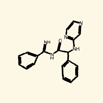 N=C(NC(=O)C(Nc1cnccn1)c1ccccc1)c1ccccc1